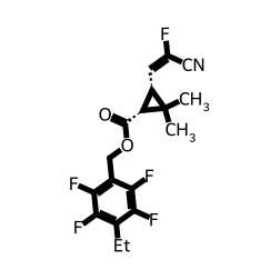 CCc1c(F)c(F)c(COC(=O)[C@@H]2[C@H](/C=C(/F)C#N)C2(C)C)c(F)c1F